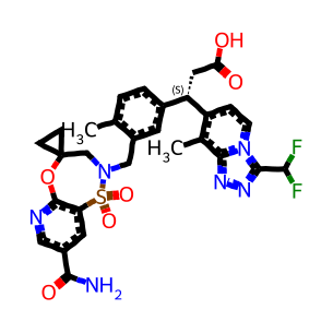 Cc1ccc([C@H](CC(=O)O)c2ccn3c(C(F)F)nnc3c2C)cc1CN1CC2(CC2)Oc2ncc(C(N)=O)cc2S1(=O)=O